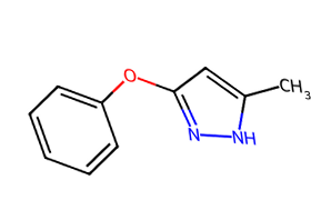 Cc1cc(Oc2ccccc2)n[nH]1